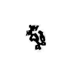 CC=O.CNNc1ccc(C(=O)OC)cc1